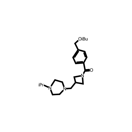 CC(C)COCc1ccc(C(=O)N2CC(CN3CCN(C(C)C)CC3)C2)cc1